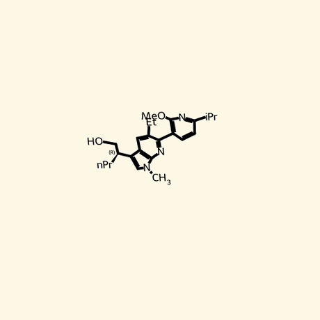 CCC[C@@H](CO)c1cn(C)c2nc(-c3ccc(C(C)C)nc3OC)c(CC)cc12